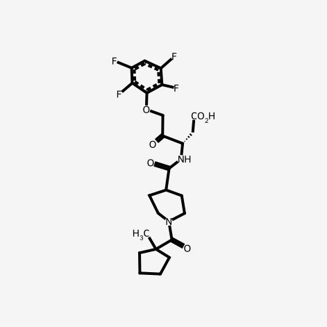 CC1(C(=O)N2CCC(C(=O)N[C@@H](CC(=O)O)C(=O)COc3c(F)c(F)cc(F)c3F)CC2)CCCC1